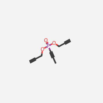 C#CCOP(=O)(C#CC)OCC#C